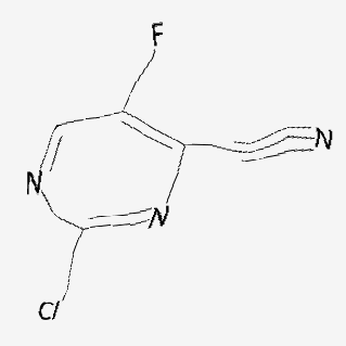 N#Cc1nc(Cl)ncc1F